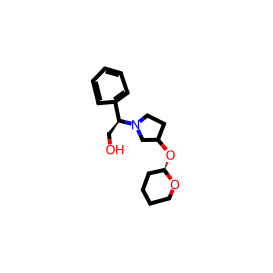 OC[C@@H](c1ccccc1)N1CCC(O[C@H]2CCCCO2)C1